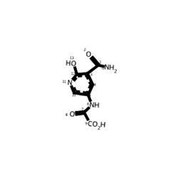 NC(=O)c1cc(NC(=O)C(=O)O)cnc1O